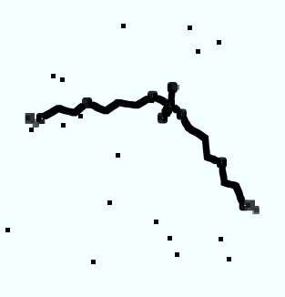 CCCOCCCOP([O])(=O)OCCCOCCC